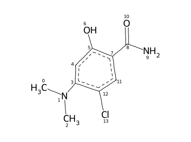 CN(C)c1cc(O)c(C(N)=O)cc1Cl